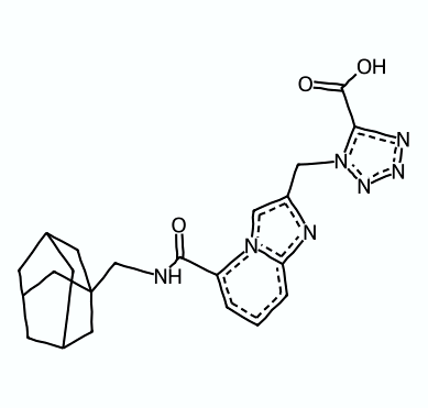 O=C(O)c1nnnn1Cc1cn2c(C(=O)NCC34CC5CC(CC(C5)C3)C4)cccc2n1